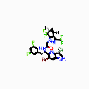 O=C(Cn1nc(C(F)F)c2c1C(F)(F)[C@@H]1C[C@H]21)N[C@@H](Cc1cc(F)cc(F)c1)c1nc2c(Cl)c[nH]c2cc1Br